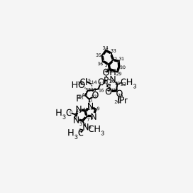 Cc1nc(N(C)C)c2ncn([C@@H]3O[C@](CCl)(CO[P@@](=S)(N[C@@H](C)C(=O)OC(C)C)Oc4cccc5ccccc45)[C@@H](O)[C@H]3F)c2n1